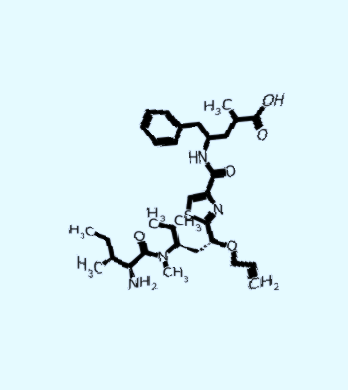 C=CCO[C@H](C[C@H](C(C)C)N(C)C(=O)[C@@H](N)[C@@H](C)CC)c1nc(C(=O)NC(Cc2ccccc2)CC(C)C(=O)O)cs1